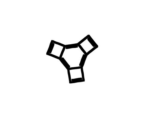 c1cc2c1c1ccc1c1ccc21